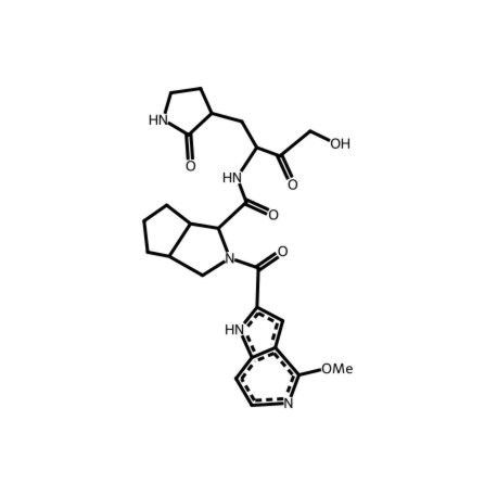 COc1nccc2[nH]c(C(=O)N3CC4CCCC4C3C(=O)NC(CC3CCNC3=O)C(=O)CO)cc12